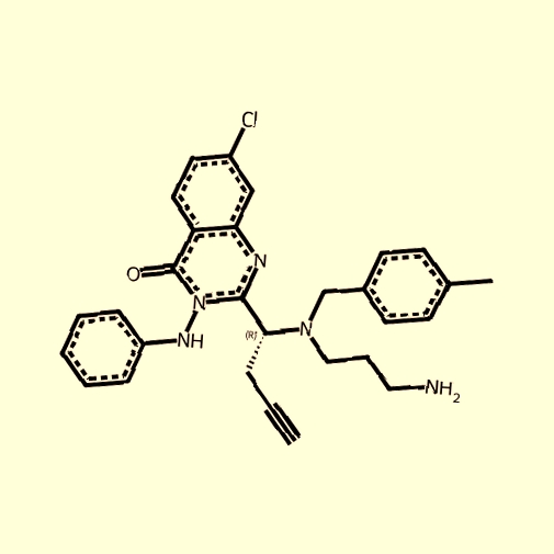 C#CC[C@H](c1nc2cc(Cl)ccc2c(=O)n1Nc1ccccc1)N(CCCN)Cc1ccc(C)cc1